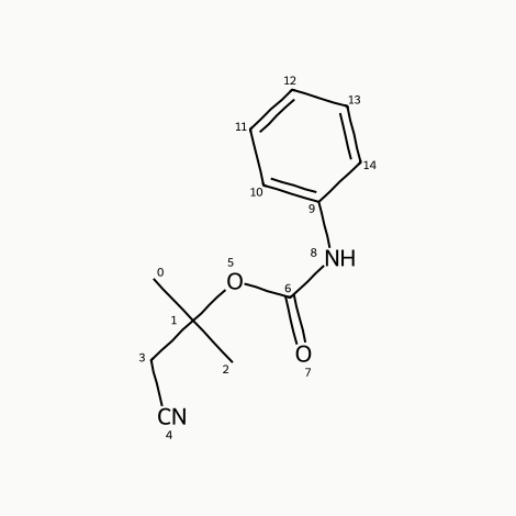 CC(C)(CC#N)OC(=O)Nc1ccccc1